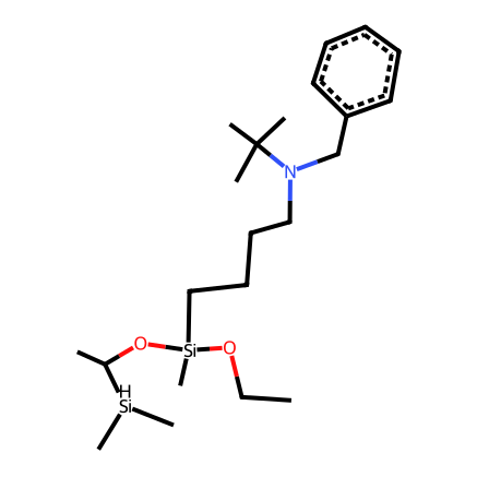 CCO[Si](C)(CCCCN(Cc1ccccc1)C(C)(C)C)OC(C)[SiH](C)C